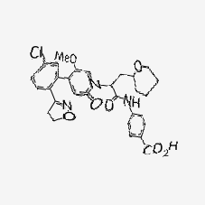 COc1cn(C(CC2CCCCO2)C(=O)Nc2ccc(C(=O)O)cc2)c(=O)cc1-c1cc(Cl)ccc1C1=NOCC1